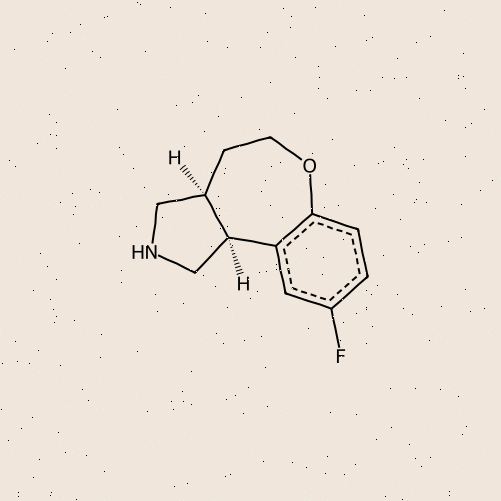 Fc1ccc2c(c1)[C@H]1CNC[C@H]1CCO2